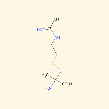 CC(=N)NCCSCC(C)(N)C(=O)O